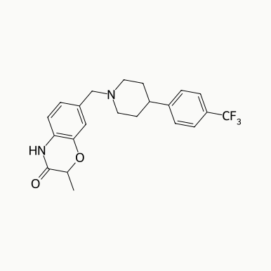 CC1Oc2cc(CN3CCC(c4ccc(C(F)(F)F)cc4)CC3)ccc2NC1=O